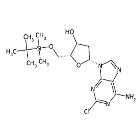 CC(C)(C)[Si](C)(C)OC[C@H]1O[C@@H](n2cnc3c(N)nc(Cl)nc32)CC1O